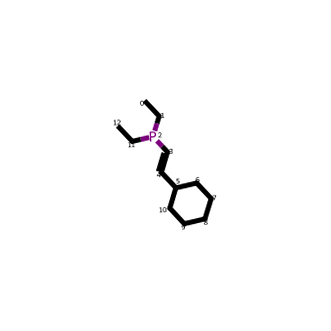 CCP(/C=C/C1CCCCC1)CC